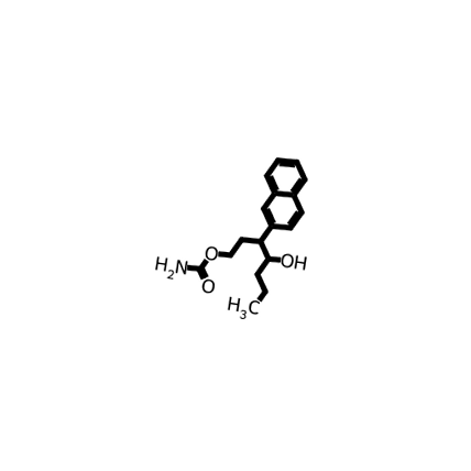 CCCC(O)C(CCOC(N)=O)c1ccc2ccccc2c1